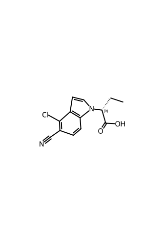 CC[C@H](C(=O)O)n1ccc2c(Cl)c(C#N)ccc21